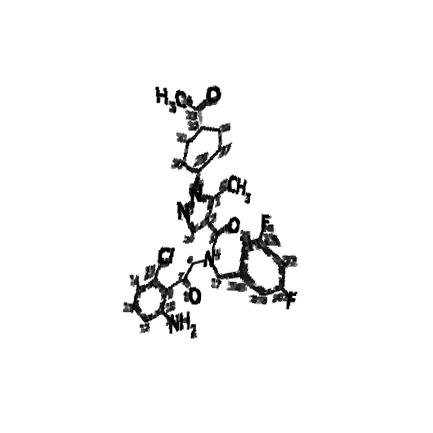 Cc1c(C(=O)N(CC(=O)c2c(N)cccc2Cl)Cc2cc(F)cc(F)c2)cnn1[C@H]1CC[C@H](C(C)=O)CC1